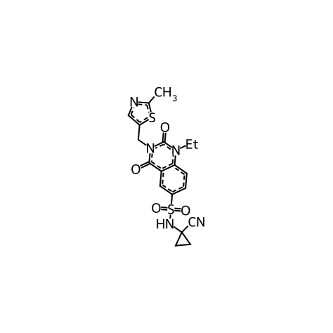 CCn1c(=O)n(Cc2cnc(C)s2)c(=O)c2cc(S(=O)(=O)NC3(C#N)CC3)ccc21